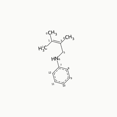 CC(C)=C(C)CNc1ccccc1